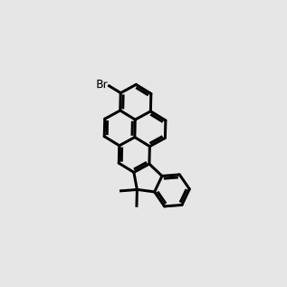 CC1(C)c2ccccc2-c2c1cc1ccc3c(Br)ccc4ccc2c1c43